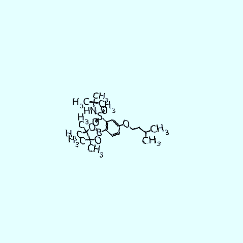 CC(C)CCOc1ccc(B2OC(C)(C)C(C)(C)O2)c(S(=O)(=O)NC(C)(C)C)c1